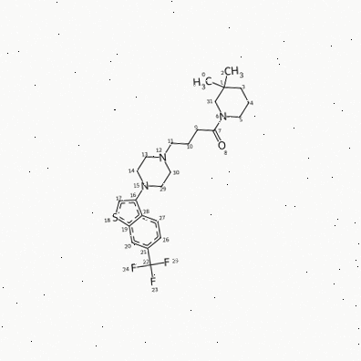 CC1(C)CCCN(C(=O)CCCN2CCN(c3csc4cc(C(F)(F)F)ccc34)CC2)C1